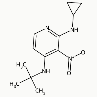 CC(C)(C)Nc1ccnc(NC2CC2)c1[N+](=O)[O-]